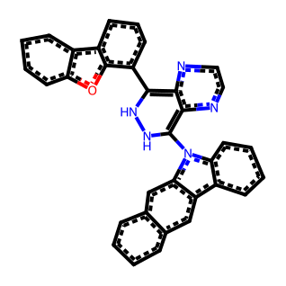 c1ccc2cc3c(cc2c1)c1ccccc1n3C1=c2nccnc2=C(c2cccc3c2oc2ccccc23)NN1